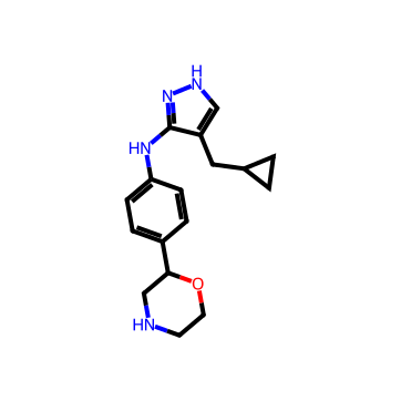 c1cc(C2CNCCO2)ccc1Nc1n[nH]cc1CC1CC1